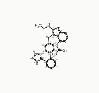 CCNc1nc2cccc(OC(=O)O)c2n1Cc1ccc(-c2ccccc2-c2nnn[nH]2)cc1